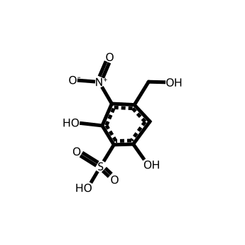 O=[N+]([O-])c1c(CO)cc(O)c(S(=O)(=O)O)c1O